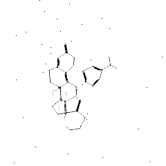 C=C1CCCOC12CC[C@H]1[C@@H]3CCC4=CC(=O)CCC4=C3[C@@H](c3ccc(C(C)C)cc3)C[C@@]12C